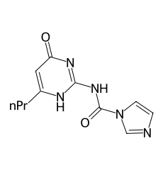 CCCc1cc(=O)nc(NC(=O)n2ccnc2)[nH]1